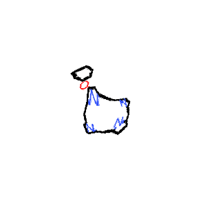 C1=CC2=NC1=CC1=NC(=CC3=NC(=CC4=NC(=C2)C=C4)C=C3Oc2ccccc2)C=C1